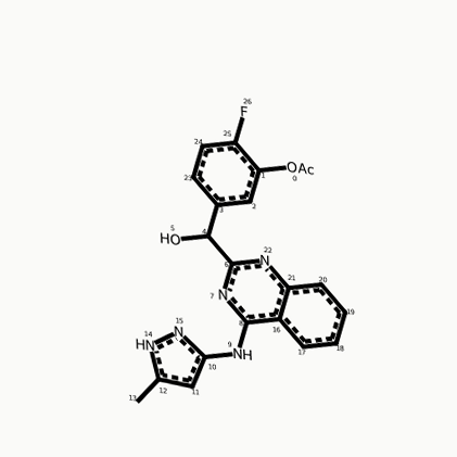 CC(=O)Oc1cc(C(O)c2nc(Nc3cc(C)[nH]n3)c3ccccc3n2)ccc1F